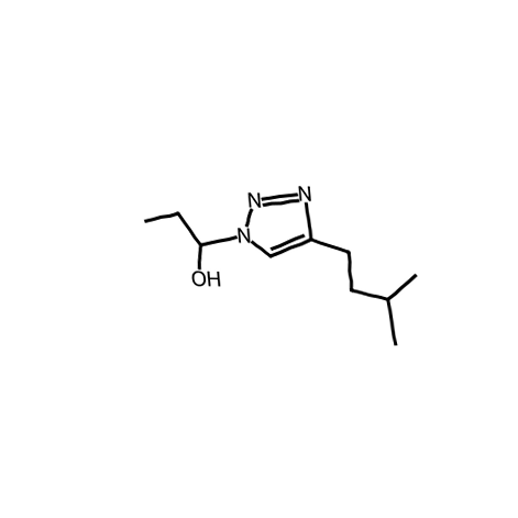 CCC(O)n1cc(CCC(C)C)nn1